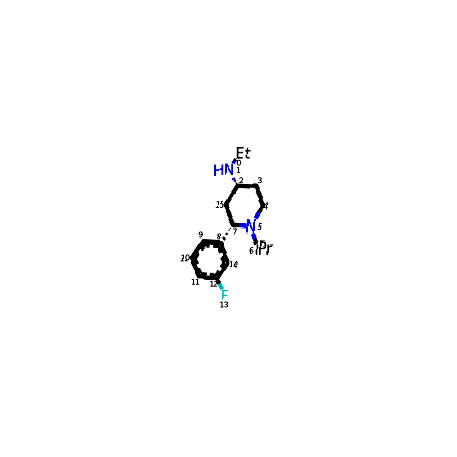 CCN[C@@H]1CCN(C(C)C)[C@H](c2cccc(F)c2)C1